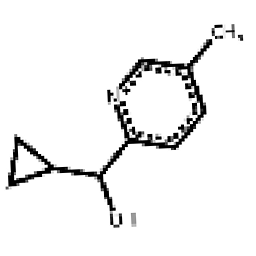 Cc1ccc(C(O)C2CC2)nc1